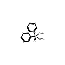 COS(=O)(OC)(c1ccccc1)c1ccccc1